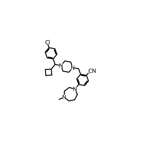 CN1CCCN(c2ccc(C#N)c(CN3CCN(C(c4ccc(Cl)cc4)C4CCC4)CC3)c2)CC1